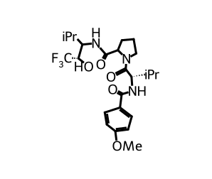 COc1ccc(C(=O)N[C@H](C(=O)N2CCCC2C(=O)NC(C(C)C)[C@H](O)C(F)(F)F)C(C)C)cc1